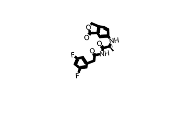 C[C@H](Nc1ccc2c(c1)C(=O)OC2)C(=O)NC(=O)Cc1cc(F)cc(F)c1